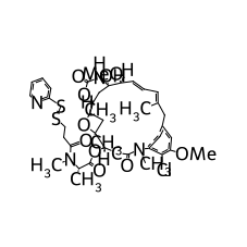 COc1cc2cc(c1Cl)N(C)C(=O)C[C@H](OC(=O)[C@H](C)N(C)C(=O)CCSSc1ccccn1)[C@@]1(C)CC(C)(O1)[C@@H]1C[C@@](O)(NC(=O)O1)[C@H](OC)/C=C/C=C(\C)C2